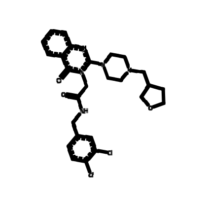 O=C(Cn1c(N2CCN(CC3CCOC3)CC2)nc2ccccc2c1=O)NCc1ccc(Cl)c(Cl)c1